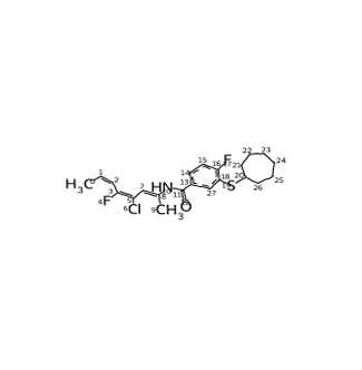 C\C=C/C(F)=C(Cl)\C=C(/C)NC(=O)c1ccc(F)c(SC2CCCCCC2)c1